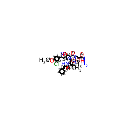 CCOc1ccc(C2=NO[C@]3(C2)C[C@@H](C(=O)NCC(O)C(N)=O)N(C(=O)[C@@H](NC(=O)CC2CCCCC2)C(C)(C)C)C3)cc1Cl